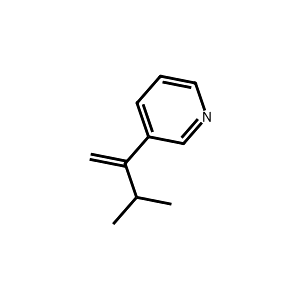 C=C(c1cccnc1)C(C)C